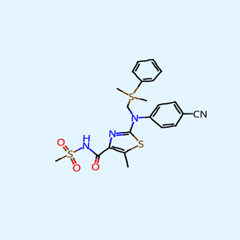 Cc1sc(N(CS(C)(C)c2ccccc2)c2ccc(C#N)cc2)nc1C(=O)NS(C)(=O)=O